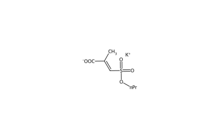 CCCOS(=O)(=O)C=C(C)C(=O)[O-].[K+]